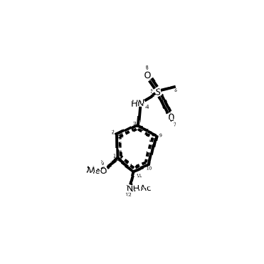 COc1cc(NS(C)(=O)=O)ccc1NC(C)=O